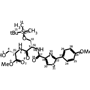 COC(=O)[C@H](CO)NC(=O)[C@H](CO[Si](C)(C)C(C)(C)C)NC(=O)c1csc(-c2ccc(OC)cc2)n1